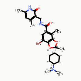 CCCc1cc(C)[nH]c(=O)c1CNC(=O)c1cc(Br)c2c(c1C)OC(C)([C@H]1CC[C@H](N(C)C)CC1)O2